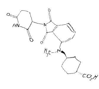 CN(c1cccc2c1C(=O)N(C1CCC(=O)NC1=O)C2=O)[C@H]1CC[C@H](C(=O)O)CC1